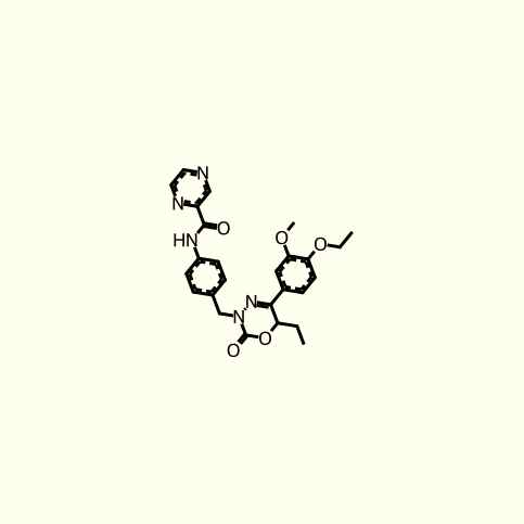 CCOc1ccc(C2=NN(Cc3ccc(NC(=O)c4cnccn4)cc3)C(=O)OC2CC)cc1OC